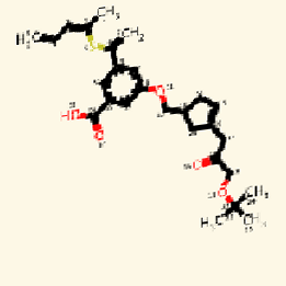 C=C/C=C(/C)SC(=C)c1cc(OCC2CC=C(CC(=O)COC(C)(C)C)C2)cc(C(=O)O)c1